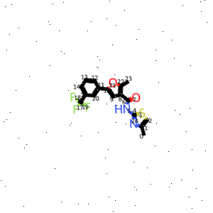 Cc1csc(NC(=O)c2cc(-c3cccc(C(F)(F)F)c3)oc2C)n1